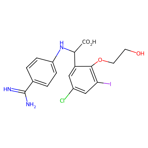 N=C(N)c1ccc(NC(C(=O)O)c2cc(Cl)cc(I)c2OCCO)cc1